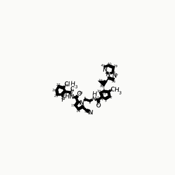 Cc1ccc(C(=O)NCCn2c(C#N)ccc2C(=O)N[C@@H](C)c2c(F)cccc2Cl)cc1[C@@H]1C[C@H]1c1cnc2cccnn12